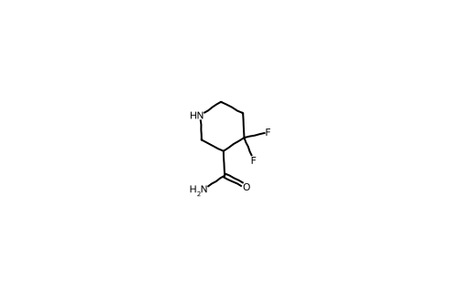 NC(=O)C1CNCCC1(F)F